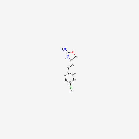 NC1=NC(CCc2ccc(Cl)cc2)CO1